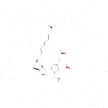 CC(=O)OC[C@H]1O[C@@H](n2cnc3c(S)nc(NCCCCCCNC(C)=S)nc32)C(OC(C)=O)[C@H]1OC(C)=O